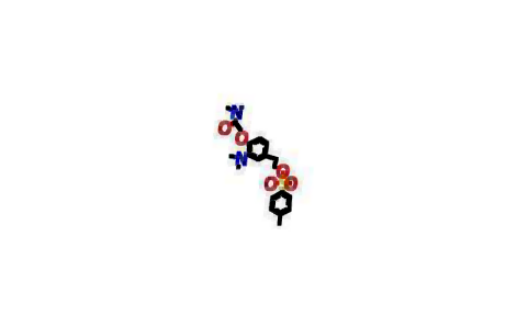 Cc1ccc(S(=O)(=O)OCCc2ccc(OCC(=O)N(C)C)c(N(C)C)c2)cc1